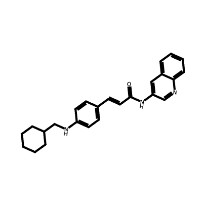 O=C(C=Cc1ccc(NCC2CCCCC2)cc1)Nc1cnc2ccccc2c1